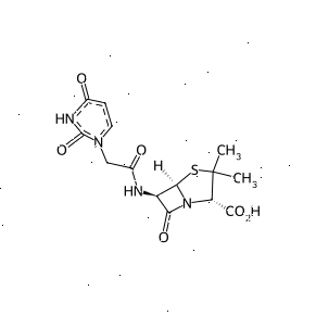 CC1(C)S[C@@H]2[C@H](NC(=O)Cn3ccc(=O)[nH]c3=O)C(=O)N2[C@H]1C(=O)O